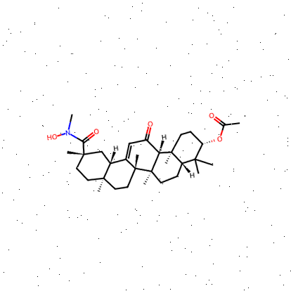 CC(=O)O[C@H]1CC[C@]2(C)[C@H]3C(=O)C=C4[C@H]5C[C@@](C)(C(=O)N(C)O)CC[C@]5(C)CC[C@@]4(C)[C@]3(C)CC[C@H]2C1(C)C